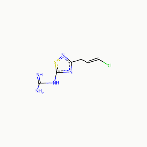 N=C(N)Nc1nc(CC=CCl)ns1